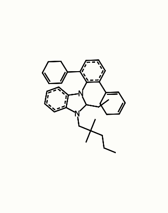 CCCC(C)(C)CN1c2ccccc2N(c2c(C3=CC=CCC3)cccc2C2=CC=CCC2)C1CC